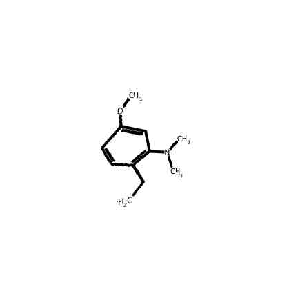 [CH2]Cc1ccc(OC)cc1N(C)C